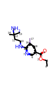 CCOC(=O)c1cnc(NCCC(C)(C)N)c(I)c1